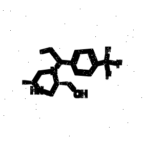 CCC(c1ccc(C(F)(F)F)cc1)N1C[C@H](C)NC[C@H]1CO